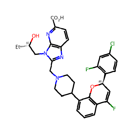 CC[C@H](O)Cn1c(CN2CCC(c3cccc4c3O[C@@H](c3ccc(Cl)cc3F)C=C4F)CC2)nc2ccc(C(=O)O)nc21